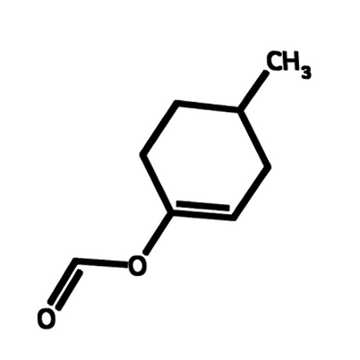 CC1CC=C(OC=O)CC1